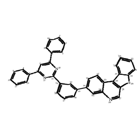 c1ccc(-c2cc(-c3ccccc3)nc(-c3cccc(-c4ccc5c(c4)ncc4sc6ccccc6c45)c3)n2)cc1